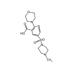 CN1CCN(S(=O)(=O)c2ccc(N3CCOCC3)c(C(=O)O)c2)CC1